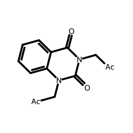 CC(=O)Cn1c(=O)c2ccccc2n(CC(C)=O)c1=O